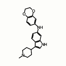 CN1CCC(c2c[nH]c3cc(Nc4ccc5c(c4)OCCO5)ccc23)CC1